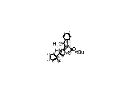 C[C@H](c1ccccc1)[C@H](NC(=O)OC(C)(C)C)c1ncc(-c2ccccc2F)[nH]1